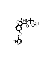 Cc1oc2ccc(OCc3ccnn3C)cc2c1C(=O)NC(C)(CO)CO